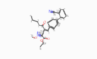 CCCCC(=O)C(Cc1ccc(-c2ccccc2C#N)cc1)/C(=N/OC)C(=O)OCC